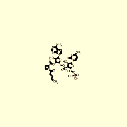 C=CCCC(=O)N1CC[C@H]1C(=O)O[C@H]1[C@@H](O)[C@H](n2cnc3c(N)ncnc32)O[C@@H]1COP(=O)(O)[C@H]1[C@@H](O)[C@H](n2ccc(N)nc2=O)O[C@@H]1COP(=O)(O)O